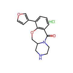 Cl.O=C1c2cccc(-c3ccoc3)c2OCC2CNCCN12